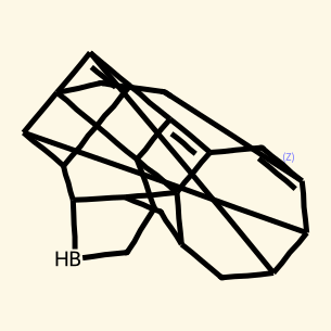 B1CCC23C4=C5/C=C6/CCC78C9=C4C72C2C1C1CC(CC9C6C28)C513